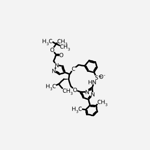 Cc1cccc(C)c1-c1cc2nc(n1)N[S+]([O-])c1cccc(c1)CCC(c1cnn(CC(=O)OC(C)(C)C)c1)[C@H](CC(C)C)CO2